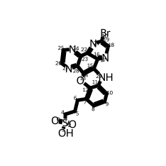 O=S(=O)(O)CCCc1cccc2c1Oc1c(c3ncc(Br)nc3c3nccnc13)N2